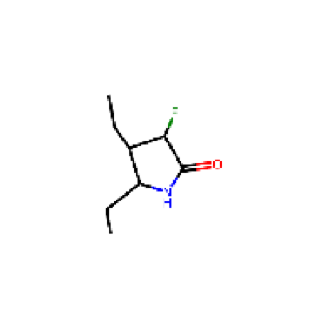 CCC1NC(=O)C(F)C1CC